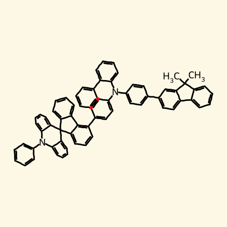 CC1(C)c2ccccc2-c2ccc(-c3ccc(N(c4ccc(-c5cccc6c5-c5ccccc5C65c6ccccc6N(c6ccccc6)c6ccccc65)cc4)c4ccccc4-c4ccccc4)cc3)cc21